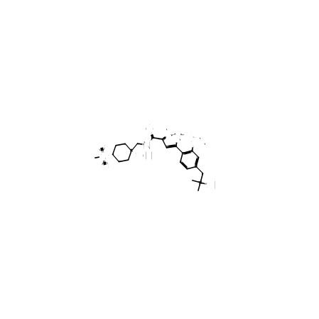 CCn1nc(C(=O)NC[C@]2(O)CC[C@@H](S(C)(=O)=O)CC2)cc1-c1ccc(CC(C)(C)C(F)(F)F)cc1C#N